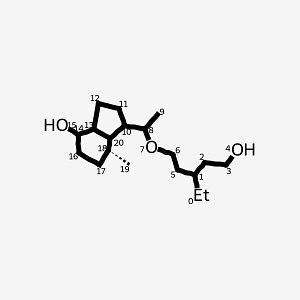 CCC(CCO)CCOC(C)C1CCC2C(O)CC[C@@H](C)C21